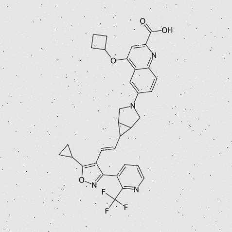 O=C(O)c1cc(OC2CCC2)c2cc(N3CC4C(C=Cc5c(-c6cccnc6C(F)(F)F)noc5C5CC5)C4C3)ccc2n1